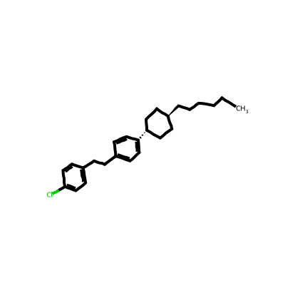 CCCCCC[C@H]1CC[C@H](c2ccc(CCc3ccc(Cl)cc3)cc2)CC1